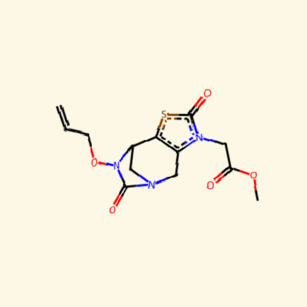 C=CCON1C(=O)N2Cc3c(sc(=O)n3CC(=O)OC)C1C2